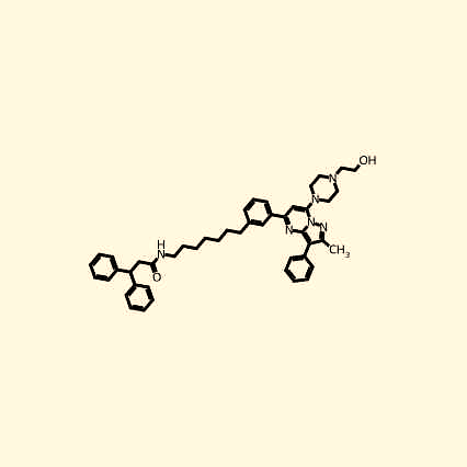 Cc1nn2c(N3CCN(CCO)CC3)cc(-c3cccc(CCCCCCCNC(=O)CC(c4ccccc4)c4ccccc4)c3)nc2c1-c1ccccc1